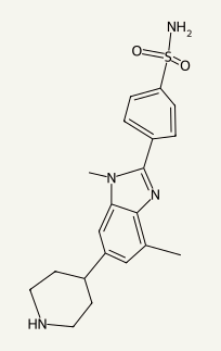 Cc1cc(C2CCNCC2)cc2c1nc(-c1ccc(S(N)(=O)=O)cc1)n2C